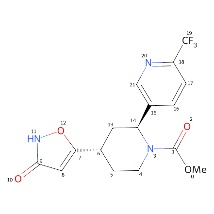 COC(=O)N1CC[C@H](c2cc(=O)[nH]o2)C[C@H]1c1ccc(C(F)(F)F)nc1